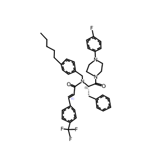 CCCCCc1ccc(CN(C(=O)/C=C/c2ccc(C(F)(F)F)cc2)[C@@H](Cc2ccccc2)C(=O)N2CCN(c3ccc(F)cc3)CC2)cc1